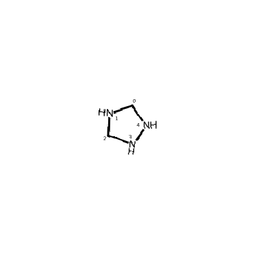 [CH]1NCNN1